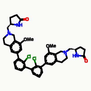 COc1cc(-c2cccc(-c3cccc(-c4cc5c(c(OC)c4)CN(C[C@@H]4CCC(=O)N4)CC5)c3Cl)c2Cl)cc2c1CN(C[C@@H]1CCC(=O)N1)CC2